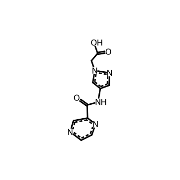 O=C(O)Cn1cc(NC(=O)c2cnccn2)cn1